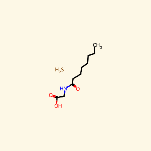 CCCCCCCC(=O)NCC(=O)O.S